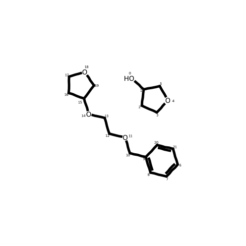 OC1CCOC1.c1ccc(COCCOC2CCOC2)cc1